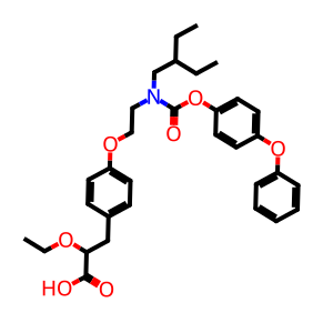 CCOC(Cc1ccc(OCCN(CC(CC)CC)C(=O)Oc2ccc(Oc3ccccc3)cc2)cc1)C(=O)O